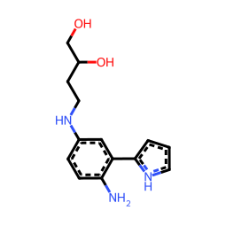 Nc1ccc(NCCC(O)CO)cc1-c1ccc[nH]1